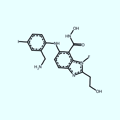 NCc1cc(I)ccc1Nc1ccc2nc(CCO)n(F)c2c1C(=O)NO